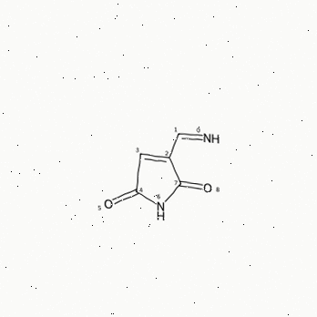 N=CC1=CC(=O)NC1=O